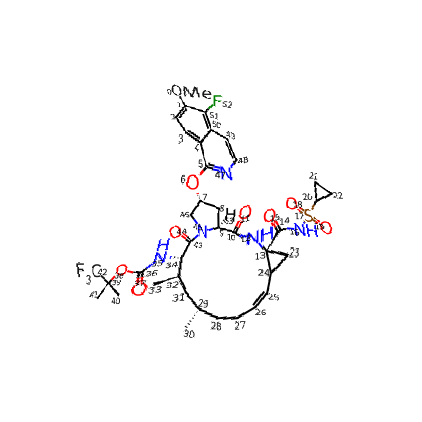 COc1ccc2c(O[C@@H]3C[C@H]4C(=O)N[C@]5(C(=O)NS(=O)(=O)C6CC6)CC5/C=C\CC[C@H](C)C[C@@H](C)[C@H](NC(=O)OC(C)(C)C(F)(F)F)C(=O)N4C3)nccc2c1F